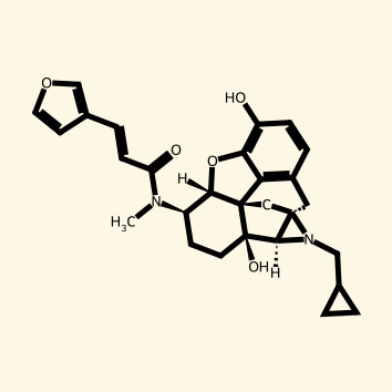 CN(C(=O)/C=C/c1ccoc1)[C@@H]1CC[C@@]2(O)[C@@H]3N(CC4CC4)[C@@]34Cc3ccc(O)c5c3[C@@]2(C4)[C@H]1O5